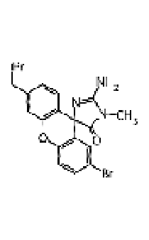 CC(C)Cc1ccc2c(c1)Oc1ccc(Br)cc1C21N=C(N)N(C)C1=O